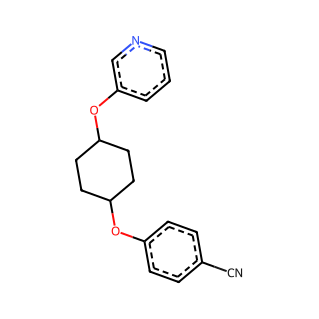 N#Cc1ccc(OC2CCC(Oc3cccnc3)CC2)cc1